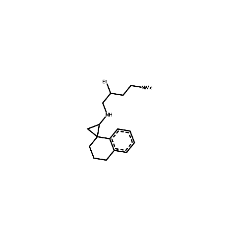 CCC(CCNC)CNC1CC12CCCc1ccccc12